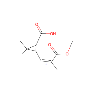 COC(=O)/C(C)=C\C1C(C(=O)O)C1(C)C